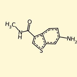 CNC(=O)c1csc2cc(N)ccc12